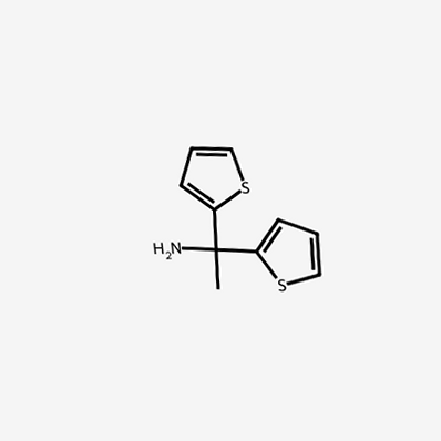 CC(N)(c1cccs1)c1cccs1